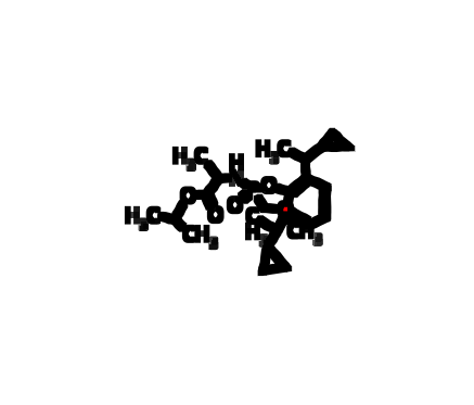 COCP(=O)(NC(C)C(=O)OC(C)C)Oc1c(C(C)C2CC2)cccc1C(C)C1CC1